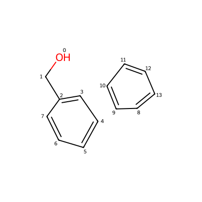 OCc1ccccc1.c1ccccc1